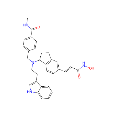 CNC(=O)c1ccc(CN(CCc2c[nH]c3ccccc23)C2CCc3cc(/C=C/C(=O)NO)ccc32)cc1